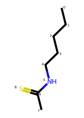 CCCCCNC(C)=S